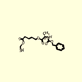 C[C@H](NC(=O)OCc1ccccc1)C(=O)OCCCCC(=O)OCS